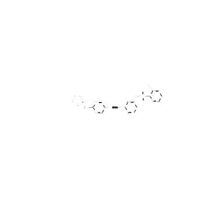 CC1(Nc2ncc(C#Cc3c(F)ccc(NS(=O)(=O)c4cc(Cl)ccc4Cl)c3F)cn2)CCCC1